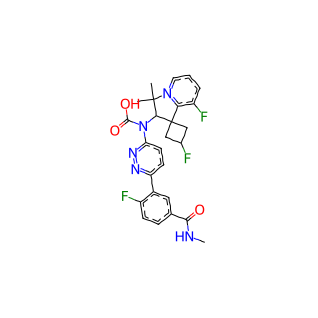 CNC(=O)c1ccc(F)c(-c2ccc(N(C(=O)O)C(C(C)(C)C)C3(c4ncccc4F)CC(F)C3)nn2)c1